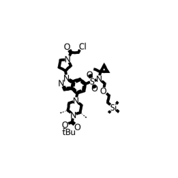 C[C@@H]1CN(c2cc(S(=O)(=O)N(COCC[Si](C)(C)C)C3(C)CC3)cc3c2cnn3C2CCN(C(=O)CCl)C2)C[C@H](C)N1C(=O)OC(C)(C)C